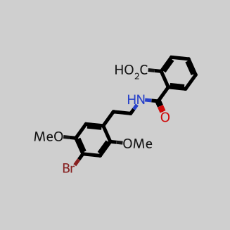 COc1cc(CCNC(=O)c2ccccc2C(=O)O)c(OC)cc1Br